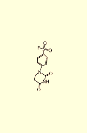 O=C1CCN(c2ccc(S(=O)(=O)F)cc2)C(=O)N1